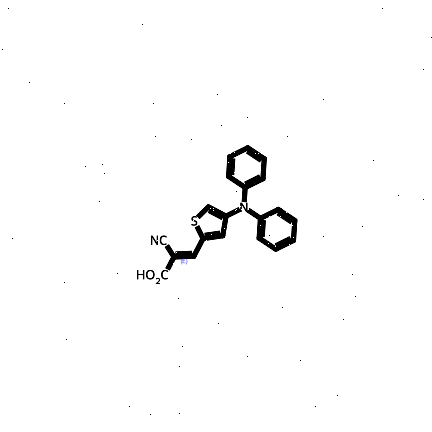 N#C/C(=C\c1cc(N(c2ccccc2)c2ccccc2)cs1)C(=O)O